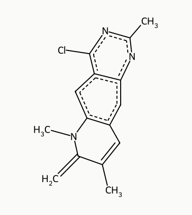 C=C1C(C)=Cc2cc3nc(C)nc(Cl)c3cc2N1C